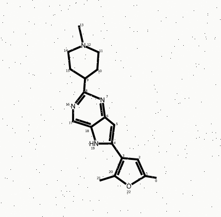 Cc1cc(-c2cc3nc(C4CCN(C)CC4)ncc3[nH]2)c(C)o1